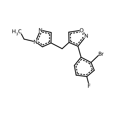 CCn1cc(Cc2conc2-c2ccc(F)cc2Br)cn1